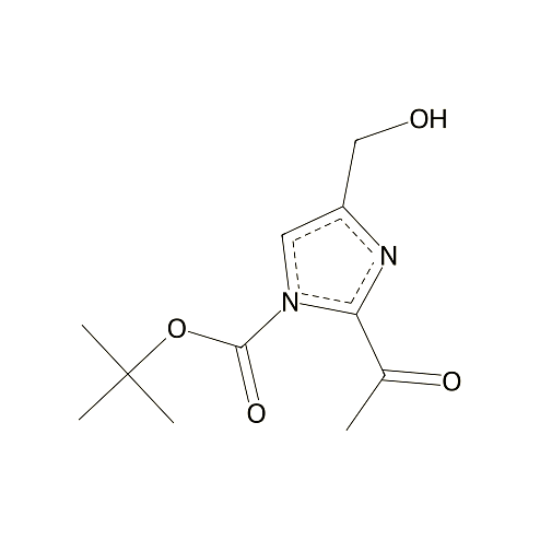 CC(=O)c1nc(CO)cn1C(=O)OC(C)(C)C